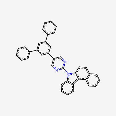 c1ccc(-c2cc(-c3ccccc3)cc(-c3cnc(-n4c5ccccc5c5c6ccccc6ccc54)nc3)c2)cc1